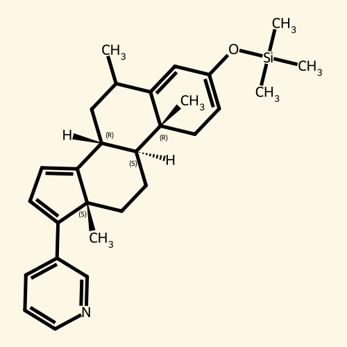 CC1C[C@H]2C3=CC=C(c4cccnc4)[C@@]3(C)CC[C@@H]2[C@@]2(C)CC=C(O[Si](C)(C)C)C=C12